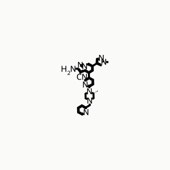 C[C@@H]1CN(Cc2ccccn2)CCN1c1ccc(-c2cc(-c3cnn(C)c3)cn3nc(N)c(C#N)c23)cn1